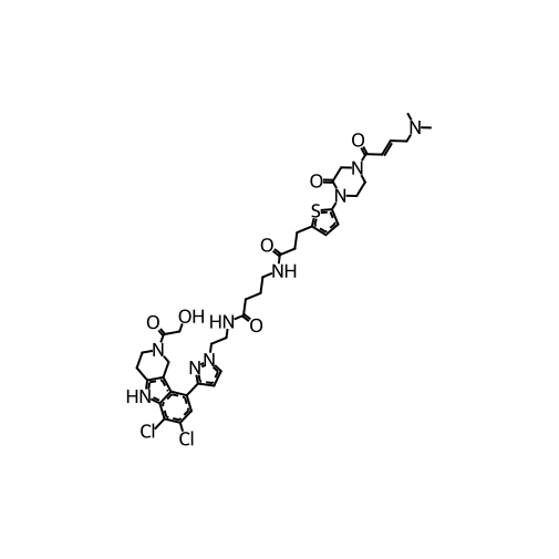 CN(C)C/C=C/C(=O)N1CCN(c2ccc(CCC(=O)NCCCC(=O)NCCn3ccc(-c4cc(Cl)c(Cl)c5[nH]c6c(c45)CN(C(=O)CO)CC6)n3)s2)C(=O)C1